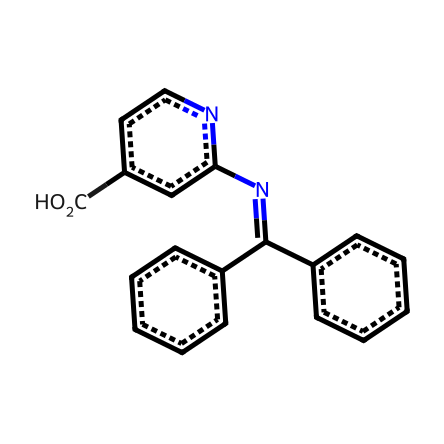 O=C(O)c1ccnc(N=C(c2ccccc2)c2ccccc2)c1